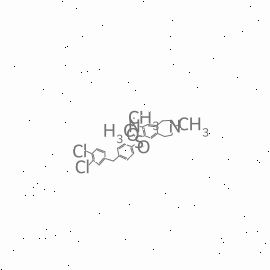 CN1CCc2cc(N(C)C)c(S(=O)(=O)c3ccc(Cc4ccc(Cl)c(Cl)c4)cc3)cc2CC1